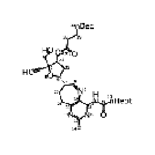 C#C[C@]1(CO)O[C@@H](C2C=Nc3c(nc(F)nc3NC(=O)CCCCCCC)CC2)C[C@@H]1OC(=O)CCCCCCCCCCCC